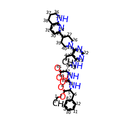 CCOC(=O)C(Cc1ccccc1)NC(=O)N[C@@H](CNc1ncnc(N2CCC(c3ccc4c(n3)NCCC4)CC2)c1CC)C(=O)O